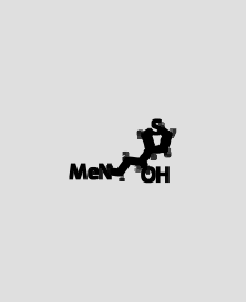 CNCCC(O)c1ccsc1